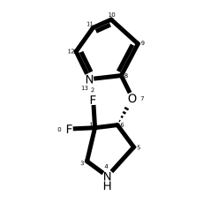 FC1(F)CNC[C@H]1Oc1ccccn1